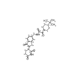 CC(C)(C)C1CCN(C(=O)C(=O)NCc2ccc3c(c2)CN(C2CCC(=O)NC2=O)C3=O)CC1